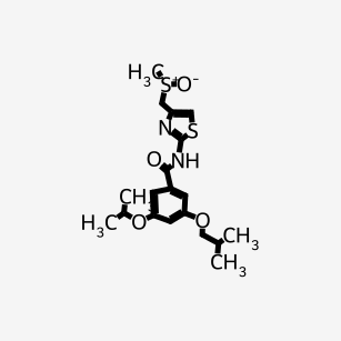 CC(C)COc1cc(OC(C)C)cc(C(=O)Nc2nc(C[S+](C)[O-])cs2)c1